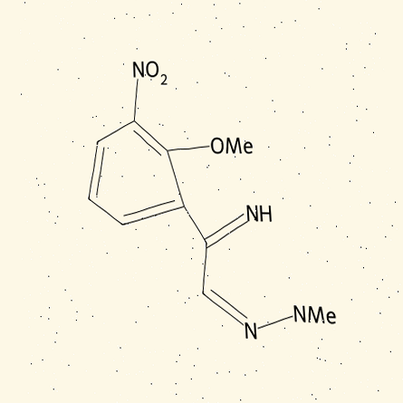 CN/N=C\C(=N)c1cccc([N+](=O)[O-])c1OC